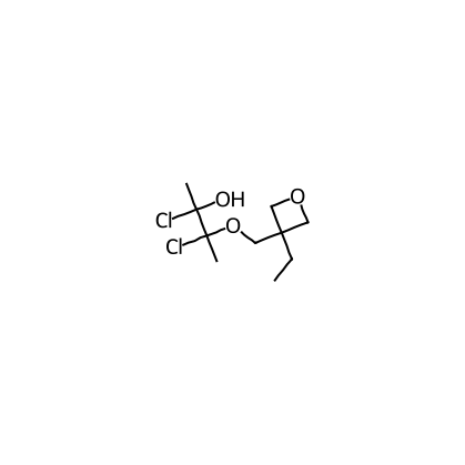 CCC1(COC(C)(Cl)C(C)(O)Cl)COC1